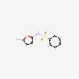 Cc1ccc(NS(=O)(=O)c2ccccc2)o1